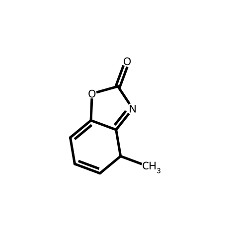 CC1C=CC=C2OC(=O)N=C21